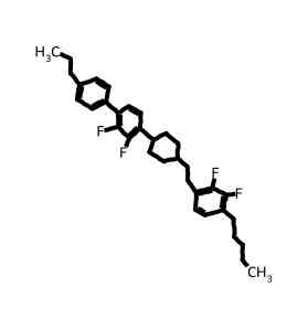 CCCCCc1ccc(CCC2CCC(c3ccc(-c4ccc(CCC)cc4)c(F)c3F)CC2)c(F)c1F